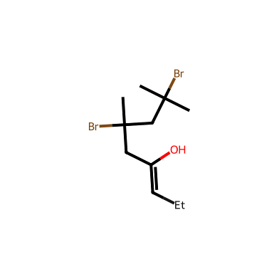 CCC=C(O)CC(C)(Br)CC(C)(C)Br